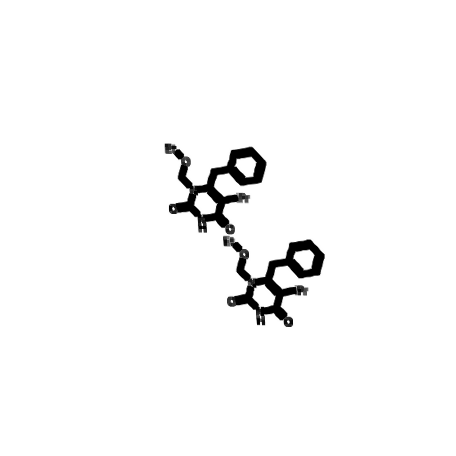 CCOCn1c(Cc2ccccc2)c(C(C)C)c(=O)[nH]c1=O.CCOCn1c(Cc2ccccc2)c(C(C)C)c(=O)[nH]c1=O